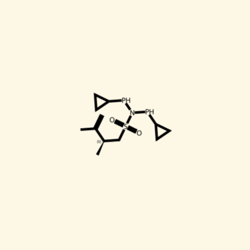 C=C(C)[C@H](C)CS(=O)(=O)N(PC1CC1)PC1CC1